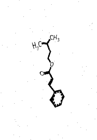 CC(C)CCOC(=O)/C=C/c1ccccc1